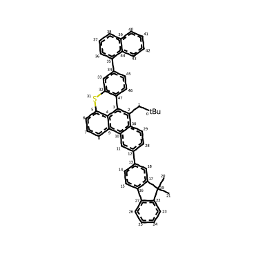 CC(C)(C)Cc1c2c3c(cccc3c3cc(-c4ccc5c(c4)C(C)(C)c4ccccc4-5)ccc13)Sc1cc(-c3cccc4ccccc34)ccc1-2